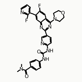 CN(C)C(=O)c1ccc(NC(=O)Nc2ccc(-c3nc(N4CCOCC4)c4cc(F)c(-c5cccnc5F)cc4n3)cn2)cc1